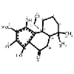 COc1c(O)c2c(c(O)c1C(C)C)C(=O)CC1C(C)(C)CCC[C@]21CO